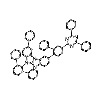 c1ccc(-c2ccc3c(c2)n2c4cc(-c5ccc(-c6nc(-c7ccccc7)nc(-c7ccccc7)n6)cc5-c5ccccc5)ccc4nc2n3-c2c(-c3ccccc3)cccc2-c2ccccc2)cc1